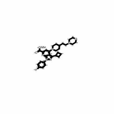 COC(=O)c1cc(N2CCC(CCN3CCOCC3)CC2)c2c(C3CCC3)nn(-c3ccc(F)cc3)c2n1